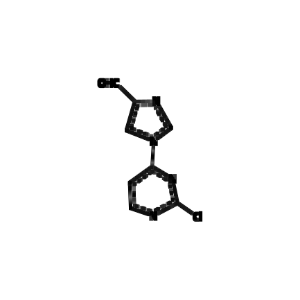 O=Cc1cn(-c2ccnc(Cl)n2)cn1